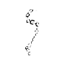 CC1(C)CCN(Cc2cc(F)c(N3CC(=O)NC4(CCN(c5cc(NCC6CCN(C(=O)CCCCCCCCN7CCN(c8cccc9c8C(=O)N(C8CCC(=O)NC8=O)C9=O)CC7)CC6)ncn5)CC4)C3)cc2F)CC1